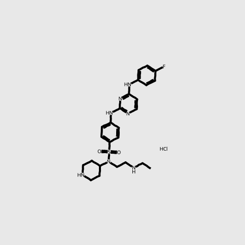 CCNCCN(C1CCNCC1)S(=O)(=O)c1ccc(Nc2nccc(Nc3ccc(F)cc3)n2)cc1.Cl